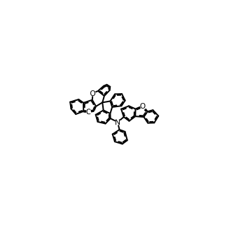 c1ccc(N(c2ccc3oc4ccccc4c3c2)c2cccc3c2-c2ccccc2C32c3ccccc3Oc3c2ccc2ccccc32)cc1